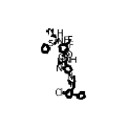 CN(C)CC[C@H](CSc1ccccc1)Nc1ccc(S(=O)(=O)Nc2ncnc3cc(N4CCN(Cc5cc(Cl)ccc5-c5ccccc5)CC4)ccc23)cc1C(F)(F)F